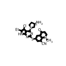 CCc1[nH]c2nc(Sc3cc(C#N)c4c(c3)c(=O)ccn4C)nc(N3CC[C@@H](N)C3)c2c1Cl